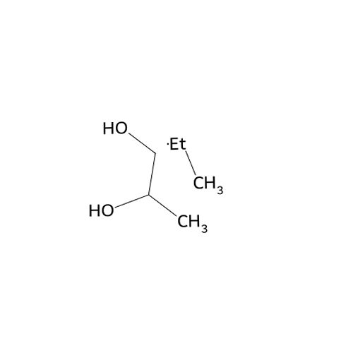 CC(O)CO.C[CH]C